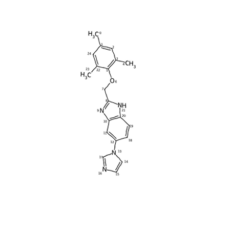 Cc1cc(C)c(OCc2nc3cc(-n4ccnc4)ccc3[nH]2)c(C)c1